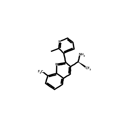 Cc1ncccc1-c1nc2c(C(F)(F)F)cccc2cc1[C@@H](N)C(F)(F)F